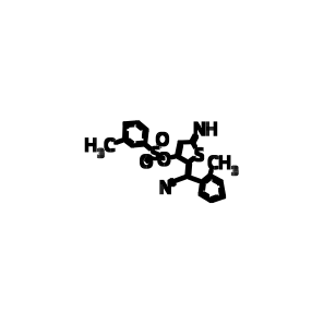 Cc1cccc(S(=O)(=O)OC2=CC(=N)SC2=C(C#N)c2ccccc2C)c1